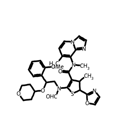 COc1ccccc1C(CN(C=O)C1=C(C(=O)N(C)c2c(C)ccn3ccnc23)C(C)C(c2ncco2)S1)OC1CCOCC1